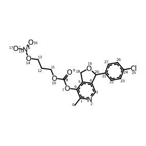 Cc1ncc2c(c1OC(=O)OCCCO[N+](=O)[O-])COC2c1ccc(Cl)cc1